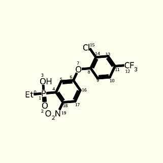 CCP(=O)(O)c1cc(Oc2ccc(C(F)(F)F)cc2Cl)ccc1[N+](=O)[O-]